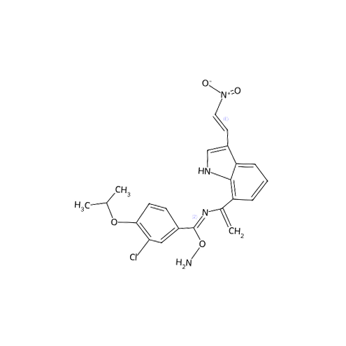 C=C(/N=C(\ON)c1ccc(OC(C)C)c(Cl)c1)c1cccc2c(/C=C/[N+](=O)[O-])c[nH]c12